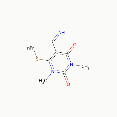 CCCSc1c(C=N)c(=O)n(C)c(=O)n1C